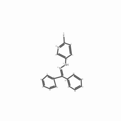 Fc1ccc(NN=C(c2ccccc2)c2ccccc2)cn1